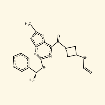 Cc1nc2nc(N[C@@H](C)c3cccnc3)nc(C(=O)N3CC(NC=O)C3)c2s1